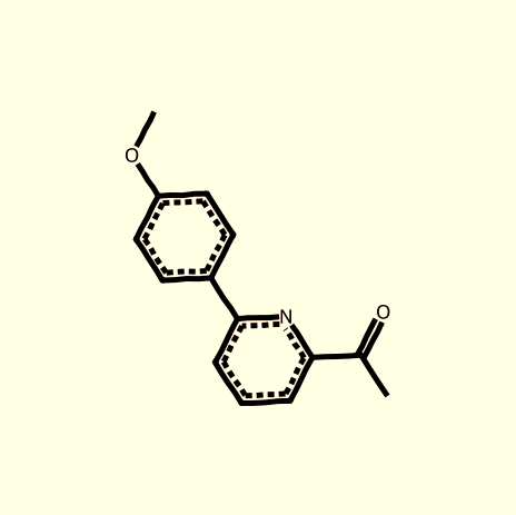 COc1ccc(-c2cccc(C(C)=O)n2)cc1